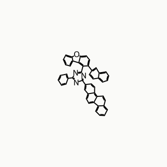 c1ccc(-c2nc(-c3ccc4c(ccc5c6ccccc6ccc45)c3)nc(-c3c(-c4ccc5ccccc5c4)ccc4oc5ccccc5c34)n2)cc1